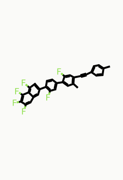 Cc1ccc(C#Cc2cc(F)c(-c3ccc(-c4cc(F)c5c(F)c(F)c(F)cc5c4)c(F)c3)cc2C)cc1